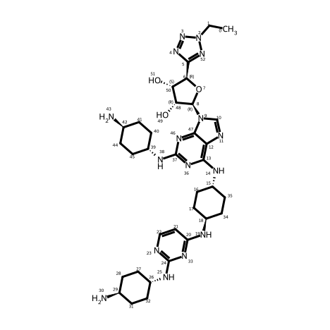 CCn1nnc([C@H]2O[C@@H](n3cnc4c(N[C@H]5CC[C@H](Nc6ccnc(N[C@H]7CC[C@H](N)CC7)n6)CC5)nc(N[C@H]5CC[C@H](N)CC5)nc43)[C@H](O)[C@@H]2O)n1